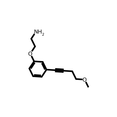 COCCC#Cc1cccc(OCCN)c1